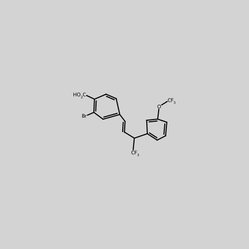 O=C(O)c1ccc(C=CC(c2cccc(OC(F)(F)F)c2)C(F)(F)F)cc1Br